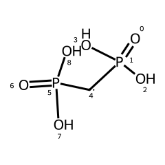 O=P(O)(O)[CH]P(=O)(O)O